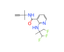 C#CC(C)(C)NC(=O)c1cccnc1NC(C)(CF)C(F)F